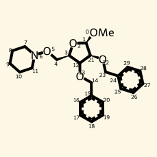 CO[C@@H]1O[C@H](CON2CCCCC2)C(OCc2ccccc2)[C@@H]1OCc1ccccc1